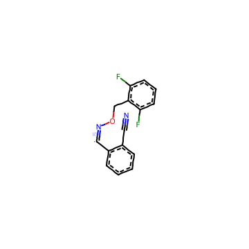 N#Cc1ccccc1/[C]=N\OCc1c(F)cccc1F